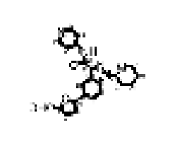 O=Cc1ccc(-c2ccc3c(c2)c(C(=O)Nc2ccncc2)nn3C2CCCCO2)o1